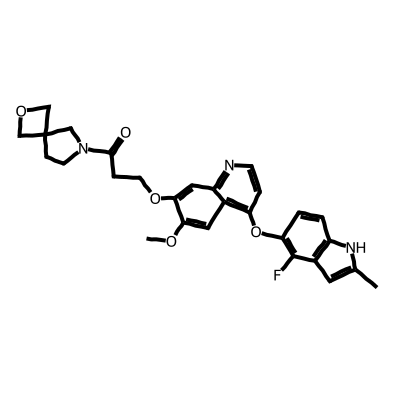 COc1cc2c(Oc3ccc4[nH]c(C)cc4c3F)ccnc2cc1OCCC(=O)N1CCC2(COC2)C1